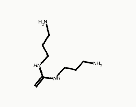 C=C(NCCCN)NCCCN